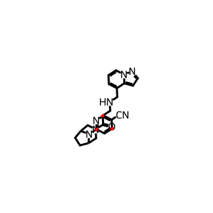 N#Cc1ccc(N2C3CCC2CN(C(=O)CCNCc2cccn4nccc24)C3)nc1